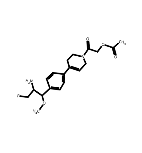 COC(c1ccc(C2=CCN(C(=O)COC(C)=O)CC2)cc1)C(N)CF